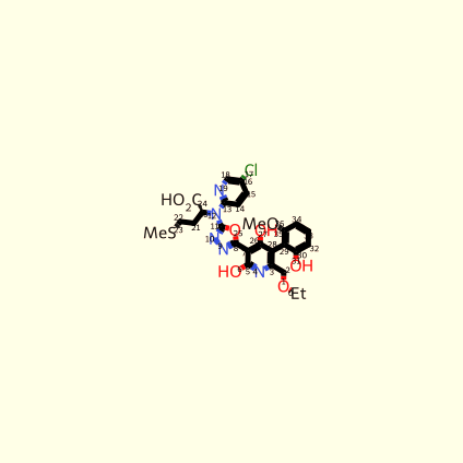 CCOCc1nc(O)c(-c2nnc(N(c3ccc(Cl)cn3)[C@@H](CCSC)C(=O)O)o2)c(O)c1-c1c(O)cccc1OC